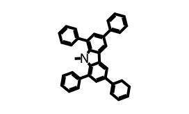 Cn1c2c(-c3ccccc3)cc(C3=CC=CCC3)cc2c2cc(-c3ccccc3)cc(-c3ccccc3)c21